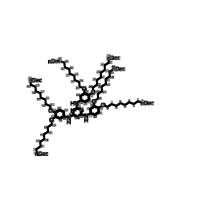 CCCCCCCCCCCCCCCCCCOc1ccc(Nc2nc(Nc3ccc(OCCCCCCCCCCCCCCCCCC)c(OCCCCCCCCCCCCCCCCCC)c3)nc(Nc3ccc(OCCCCCCCCCCCCCCCCCC)c(OCCCCCCCCCCCCCCCCCC)c3)n2)cc1OCCCCCCCCCCCCCCCCCC